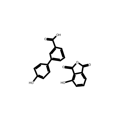 O=C(O)c1cccc(-c2ccc(O)cc2)c1.O=C1OC(=O)c2c(O)cccc21